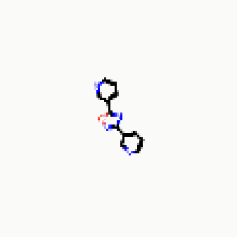 c1cncc(-c2noc(-c3cccnc3)n2)c1